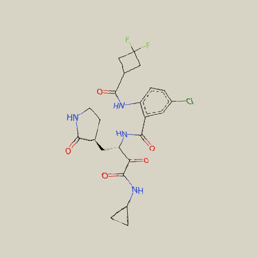 O=C(NC1CC1)C(=O)[C@H](C[C@@H]1CCNC1=O)NC(=O)c1cc(Cl)ccc1NC(=O)C1CC(F)(F)C1